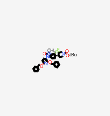 Cn1c(=O)n(-c2ccc(OCc3ccccc3)nc2OCc2ccccc2)c2ccc([C@@H]3CCN(C(=O)OC(C)(C)C)CC3(F)F)cc21